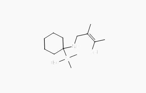 CC([SiH3])=C(C)CNC1([Si](C)(C)C(C)(C)C)CCCCC1